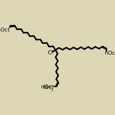 CCCCCCCC/C=C\CCCCCCCCCCCCC(Cl)(CCCCCCCC/C=C\CCCCCCCC)CCCCCCCCCCCC/C=C\CCCCCCCC.N